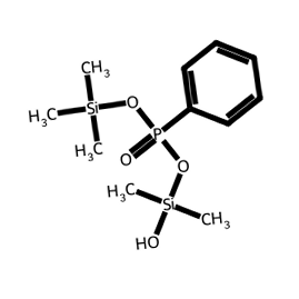 C[Si](C)(C)OP(=O)(O[Si](C)(C)O)c1ccccc1